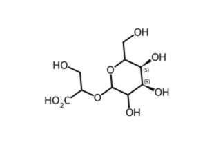 O=C(O)C(CO)OC1OC(CO)[C@@H](O)[C@@H](O)C1O